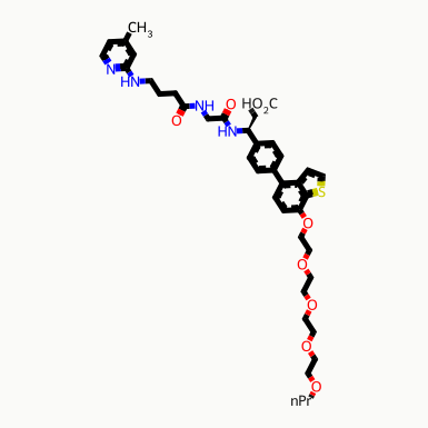 CCCOCCOCCOCCOCCOc1ccc(-c2ccc([C@H](CC(=O)O)NC(=O)CNC(=O)CCCNc3cc(C)ccn3)cc2)c2ccsc12